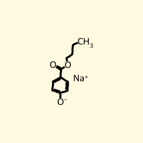 CCCCOC(=O)c1ccc([O-])cc1.[Na+]